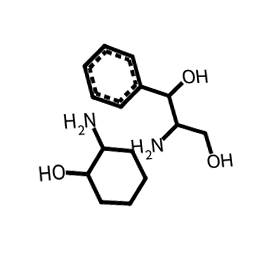 NC(CO)C(O)c1ccccc1.NC1CCCCC1O